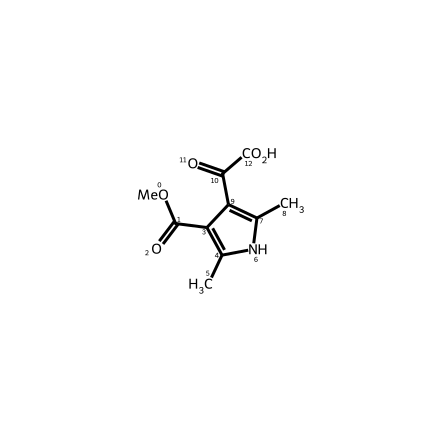 COC(=O)c1c(C)[nH]c(C)c1C(=O)C(=O)O